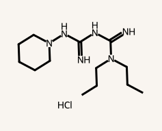 CCCN(CCC)C(=N)NC(=N)NN1CCCCC1.Cl